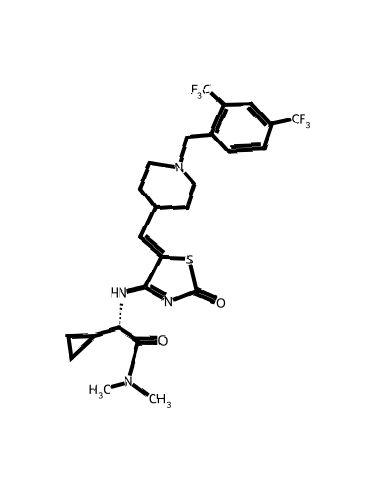 CN(C)C(=O)[C@@H](NC1=NC(=O)S/C1=C\C1CCN(Cc2ccc(C(F)(F)F)cc2C(F)(F)F)CC1)C1CC1